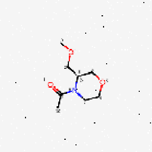 COC[C@H]1COCCN1C(C)=O